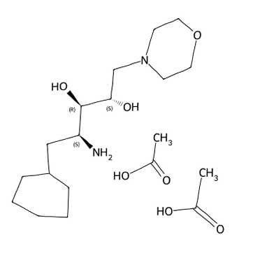 CC(=O)O.CC(=O)O.N[C@@H](CC1CCCCC1)[C@@H](O)[C@@H](O)CN1CCOCC1